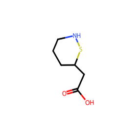 O=C(O)CC1CCCNS1